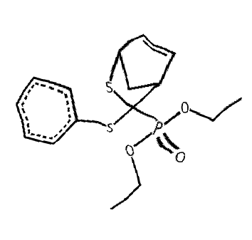 CCOP(=O)(OCC)C1(Sc2ccccc2)SC2C=CC1C2